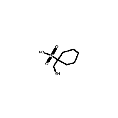 O=S(=O)(O)C1(CS)CCCCC1